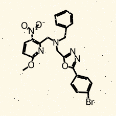 COc1ccc([N+](=O)[O-])c(CN(Cc2ccccc2)Cc2nnc(-c3ccc(Br)cc3)o2)n1